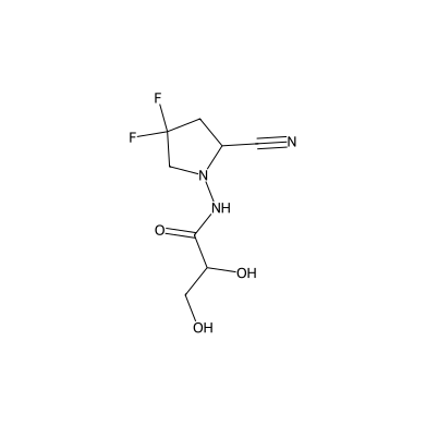 N#CC1CC(F)(F)CN1NC(=O)C(O)CO